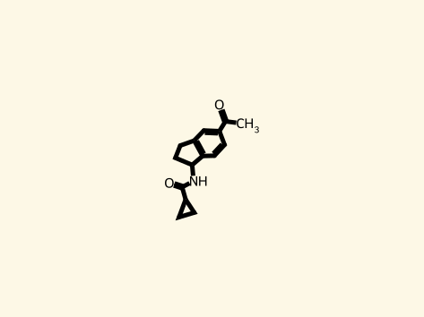 CC(=O)c1ccc2c(c1)CCC2NC(=O)C1CC1